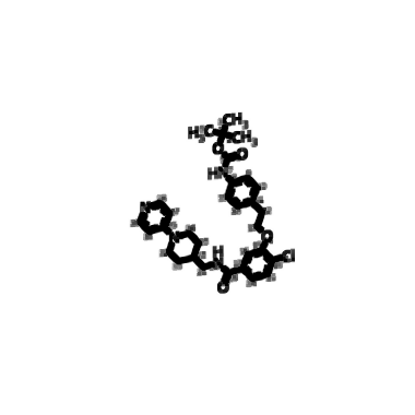 CC(C)(C)OC(=O)Nc1ccc(CCOc2cc(C(=O)NCC3CCN(c4ccncc4)CC3)ccc2Cl)cc1